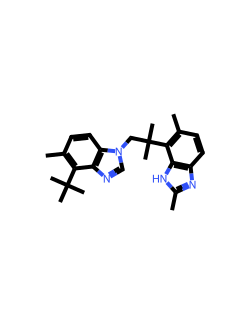 Cc1nc2ccc(C)c(C(C)(C)Cn3cnc4c(C(C)(C)C)c(C)ccc43)c2[nH]1